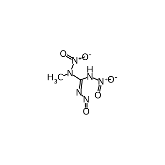 CN(C(=NN=O)N[N+](=O)[O-])[N+](=O)[O-]